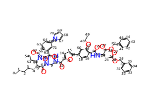 CCCCC[C@@H](C(=O)NCNC(=O)c1ccc(-c2ccc(C(=O)N[C@@H](CC(=O)OCc3ccccc3)C(=O)OCc3ccccc3)c(OCC)c2)o1)[C@@H](CC)N(C=O)OC(=O)c1cccc(-n2cccc2)c1